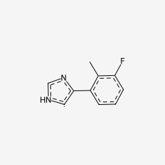 Cc1c(F)cccc1-c1[c][nH]cn1